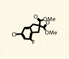 COC(=O)C1(C(=O)OC)Cc2cc(Cl)cc(F)c2C1